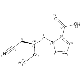 CO[C@@H](CC#N)Cn1cccc1C(=O)O